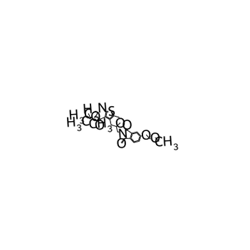 COCOc1ccc2c(c1)C(=O)N(CC1Cc3c(sc(N)c3C(=O)OC(C)(C)C)CO1)C2=O